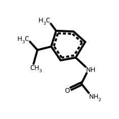 Cc1ccc(NC(N)=O)cc1C(C)C